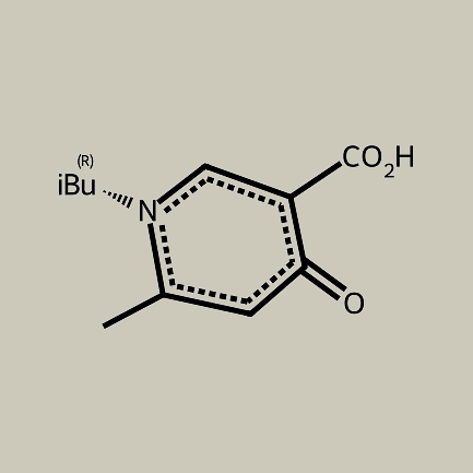 CC[C@@H](C)n1cc(C(=O)O)c(=O)cc1C